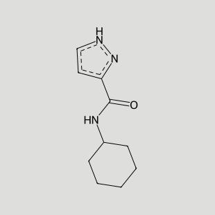 O=C(NC1CCCCC1)c1cc[nH]n1